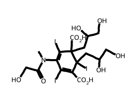 CN(C(=O)CO)C1=C(I)C(CC(O)CO)(C(=O)O)C(I)(CC(O)CO)C(C(=O)O)=C1I